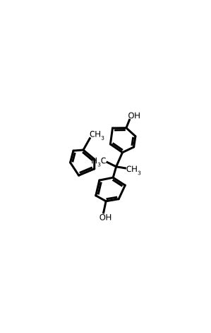 CC(C)(c1ccc(O)cc1)c1ccc(O)cc1.Cc1ccccc1